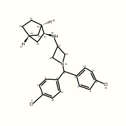 Clc1ccc(C(c2ccc(Cl)cc2)N2CC(N[C@H]3C[C@@H]4CC[C@@H]3C4)C2)cc1